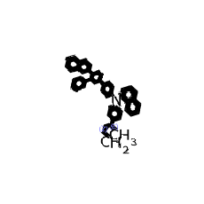 C=C/C=C\C(=C/C)c1ccc(N(c2ccc(-c3ccc(-c4ccc5ccccc5c4)c(-c4ccccc4)c3)cc2)c2cccc3ccccc23)cc1